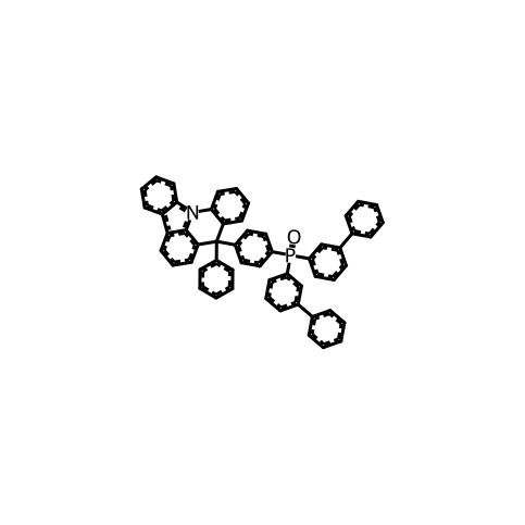 O=P(c1ccc(C2(c3ccccc3)c3ccccc3-n3c4ccccc4c4cccc2c43)cc1)(c1cccc(-c2ccccc2)c1)c1cccc(-c2ccccc2)c1